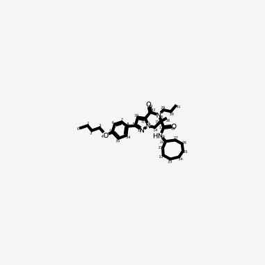 CCCCOc1ccc(-c2cc3n(n2)CC(C)(C(=O)NC2CCCCCCC2)N(CCC)C3=O)cc1